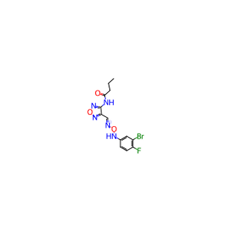 CCCC(=O)Nc1nonc1/C=N/ONc1ccc(F)c(Br)c1